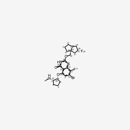 CN[C@H]1CCC[C@H]1Oc1cc(Br)c(F)c2nc(OC[C@@]34CCCN3C[C@H](F)C4)[nH]c(=O)c12